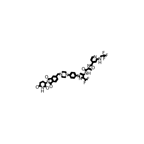 O=C1CCC(N2C(=O)c3ccc(CN4CCN(c5ccc(-n6cc(NC(=O)c7coc(-c8ccnc(NCC(F)(F)F)c8)n7)c(C(F)F)n6)cc5)CC4)cc3C2=O)C(=O)N1